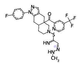 CN/N=C\C(=N)SN1CCC2Cc3c(cnn3-c3ccc(F)cc3)CC2(C(=O)c2cc(C(F)(F)F)ccn2)C1